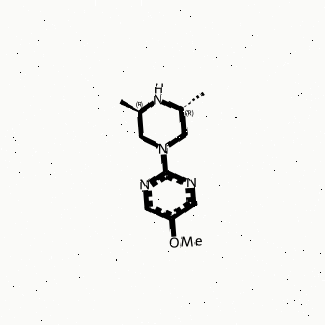 COc1cnc(N2C[C@@H](C)N[C@H](C)C2)nc1